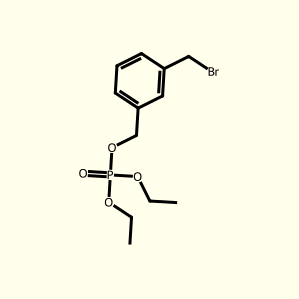 CCOP(=O)(OCC)OCc1cccc(CBr)c1